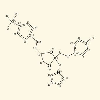 Cc1ccc(CCC2(Cn3ccnc3)OCC(CSc3ccc(C(C)(C)C)cc3)O2)cc1